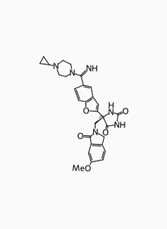 COc1ccc2c(c1)C(=O)N(C[C@@]1(c3cc4cc(C(=N)N5CCN(C6CC6)CC5)ccc4o3)NC(=O)NC1=O)C2